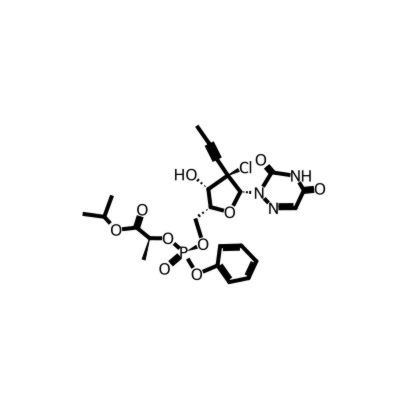 CC#C[C@@]1(Cl)[C@@H](O)[C@@H](CO[P@](=O)(Oc2ccccc2)O[C@@H](C)C(=O)OC(C)C)O[C@H]1n1ncc(=O)[nH]c1=O